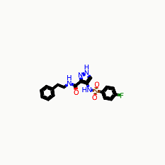 O=C(NCCc1ccccc1)c1n[nH]cc1NS(=O)(=O)c1ccc(F)cc1